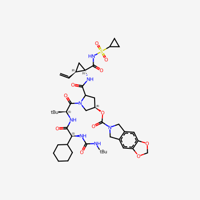 C=C[C@H]1C[C@@]1(NC(=O)C1C[C@@H](OC(=O)N2Cc3cc4c(cc3C2)OCO4)CN1C(=O)[C@@H](NC(=O)[C@@H](NC(=O)NC(C)(C)C)C1CCCCC1)C(C)(C)C)C(=O)NS(=O)(=O)C1CC1